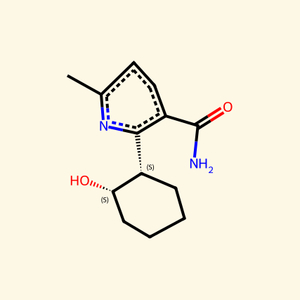 Cc1ccc(C(N)=O)c([C@@H]2CCCC[C@@H]2O)n1